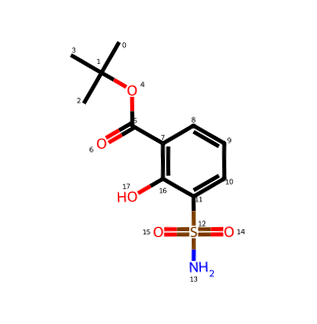 CC(C)(C)OC(=O)c1cccc(S(N)(=O)=O)c1O